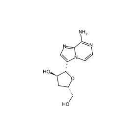 Nc1nccn2c([C@@H]3O[C@H](CO)C[C@H]3O)cnc12